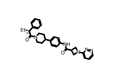 CC[C@H](C(=O)N1CCC(c2ccc(NC(=O)C3CN(c4cccnn4)C3)cc2)CC1)c1ccccc1